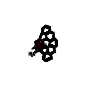 Cn1c2[n+](c3ccccc31)[N+]13c4c(cccc4-2)Oc2ccc4c(c21)-n1c2c(cccc2c2ccn[n+]3c21)S4